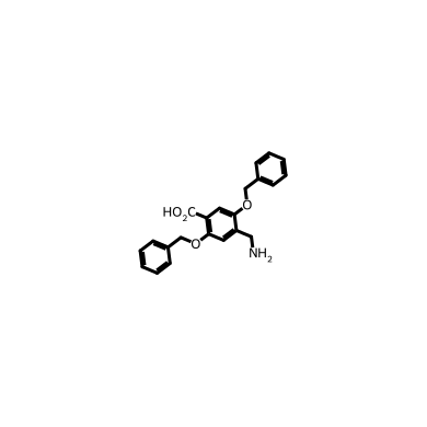 NCc1cc(OCc2ccccc2)c(C(=O)O)cc1OCc1ccccc1